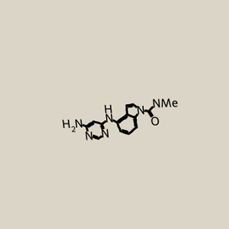 CNC(=O)n1ccc2c(Nc3cc(N)ncn3)cccc21